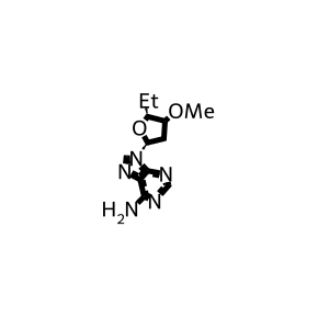 CC[C@H]1O[C@@H](n2cnc3c(N)ncnc32)CC1OC